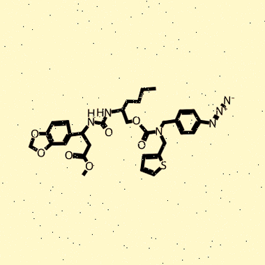 CCCCC(COC(=O)N(Cc1ccc(N=[N+]=[N-])cc1)Cc1cccs1)NC(=O)NC(CC(=O)OC)c1ccc2c(c1)OCO2